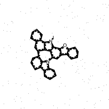 In1c2c3ccccc3cc3c4cccc5c6ccccc6n(c6cc7c8ccccc8oc7c1c6c32)c45